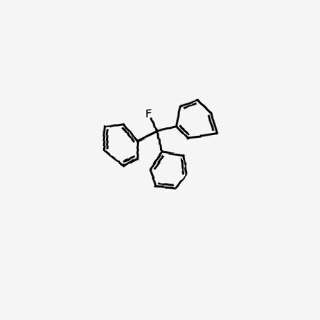 FC(c1ccccc1)(c1ccccc1)c1ccccc1